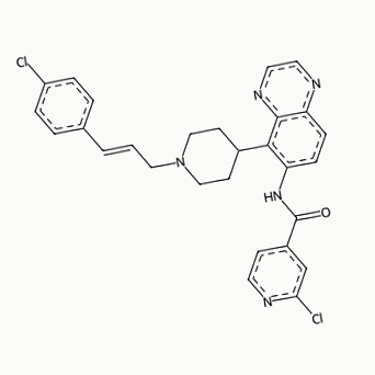 O=C(Nc1ccc2nccnc2c1C1CCN(C/C=C/c2ccc(Cl)cc2)CC1)c1ccnc(Cl)c1